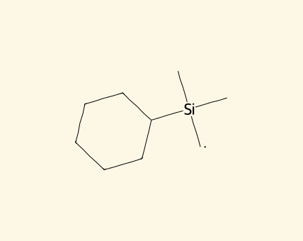 [CH2][Si](C)(C)C1CCCCC1